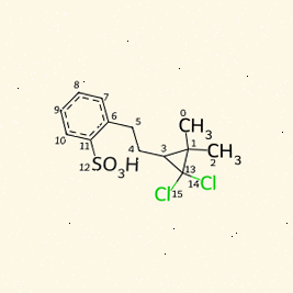 CC1(C)C(CCc2ccccc2S(=O)(=O)O)C1(Cl)Cl